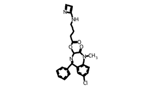 CN1C(=O)C(OC(=O)CCCNC2=CC=N2)N=C(c2ccccc2)c2cc(Cl)ccc21